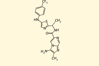 Cc1nc2cnc(C(=O)NC(C)c3ncc(Nc4ccc(C(F)(F)F)cc4)s3)cn2c1N